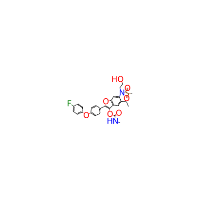 CCc1cc2c(OC(=O)NC)c(-c3ccc(Oc4ccc(F)cc4)cc3)oc2cc1N(CCO)S(C)(=O)=O